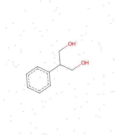 OC[C](CO)c1ccccc1